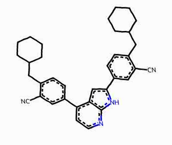 N#Cc1cc(-c2cc3c(-c4ccc(CC5CCCCC5)c(C#N)c4)ccnc3[nH]2)ccc1CC1CCCCC1